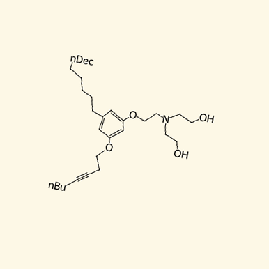 CCCCC#CCCOc1cc(CCCCCCCCCCCCCCC)cc(OCCN(CCO)CCO)c1